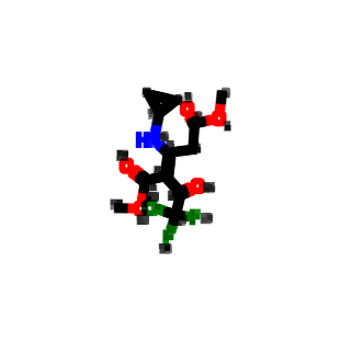 COC(=O)CC(NC1CC1)=C(C(=O)OC)C(=O)C(F)(F)Cl